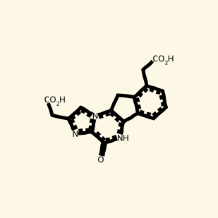 O=C(O)Cc1cn2c3c([nH]c(=O)c2n1)-c1cccc(CC(=O)O)c1C3